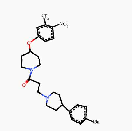 CC(C)(C)c1ccc(C2CCN(CCC(=O)N3CCC(Oc4ccc([N+](=O)[O-])c(C(F)(F)F)c4)CC3)CC2)cc1